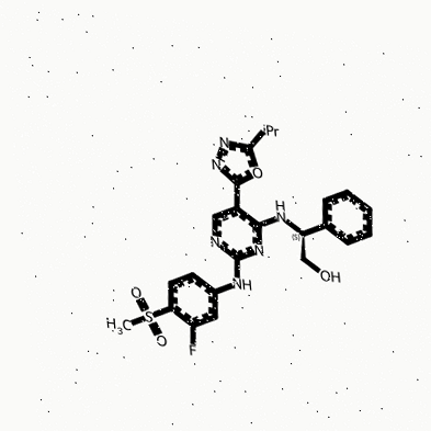 CC(C)c1nnc(-c2cnc(Nc3ccc(S(C)(=O)=O)c(F)c3)nc2N[C@H](CO)c2ccccc2)o1